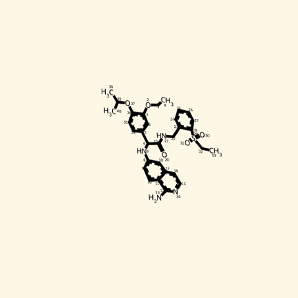 CCOc1cc(C(Nc2ccc3c(N)nccc3c2)C(=O)NCc2ccccc2S(=O)(=O)CC)ccc1OC(C)C